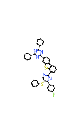 Fc1ccc(-c2nc(-c3cccc4c3sc3cc(-c5nc(-c6ccccc6)nc(-c6ccccc6)n5)ccc34)ncc2Sc2ccccc2)cc1